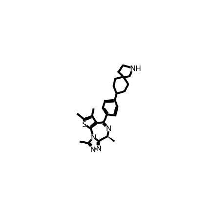 Cc1sc2c(c1C)C(c1ccc(C3CCC4(CCNC4)CC3)cc1)=N[C@@H](C)c1nnc(C)n1-2